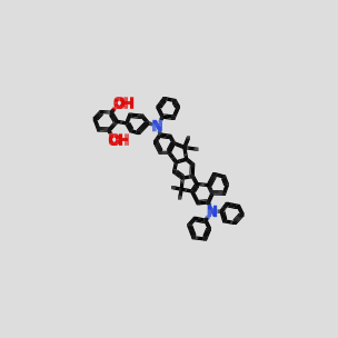 CC1(C)C2=CC3c4ccc(N(c5ccccc5)c5ccc(-c6c(O)cccc6O)cc5)cc4C(C)(C)C3C=C2c2c1cc(N(c1ccccc1)c1ccccc1)c1ccccc21